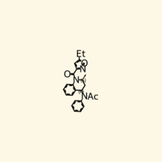 CCc1cc(C(=O)N2c3ccccc3[C@H](N(C(C)=O)c3ccccc3)C[C@@H]2C)no1